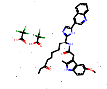 CCC(=O)CCCCC[C@H](NC(=O)Cc1c(C)[nH]c2ccc(OC)cc12)c1ncc(-c2cnc3ccccc3c2)[nH]1.O=C(O)C(F)(F)F.O=C(O)C(F)(F)F